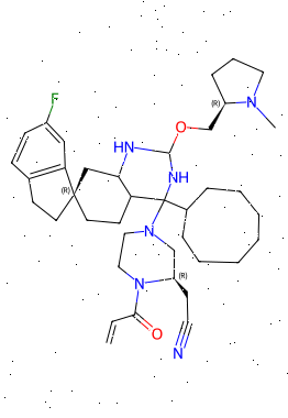 C=CC(=O)N1CCN(C2(C3CCCCCCC3)NC(OC[C@H]3CCCN3C)NC3C[C@]4(CCc5ccc(F)cc54)CCC32)C[C@H]1CC#N